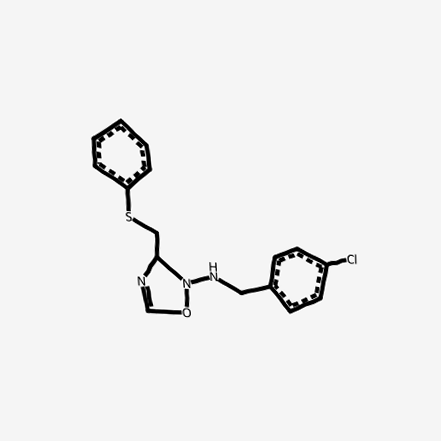 Clc1ccc(CNN2OC=NC2CSc2ccccc2)cc1